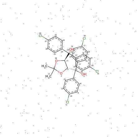 CC1(C)O[C@@H](C(O)(c2ccc(Cl)cc2)c2ccc(Cl)cc2)[C@H](C(O)(c2ccc(Cl)cc2)c2ccc(Cl)cc2)O1